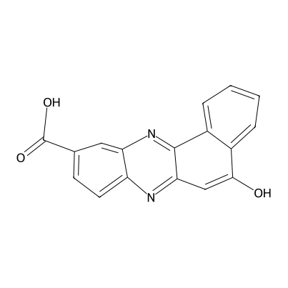 O=C(O)c1ccc2nc3cc(O)c4ccccc4c3nc2c1